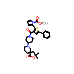 CC(C)(C)OC(=O)n1cccc1-c1sc(-c2ccccc2)cc1C(=O)N1CCC(N2CCCC3(C2)CC(C)(C)OC3=O)CC1